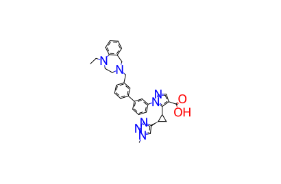 CCN1CCN(Cc2cccc(-c3cccc(-n4ncc(C(=O)O)c4C4C[C@H]4c4cn(C)nn4)c3)c2)Cc2ccccc21